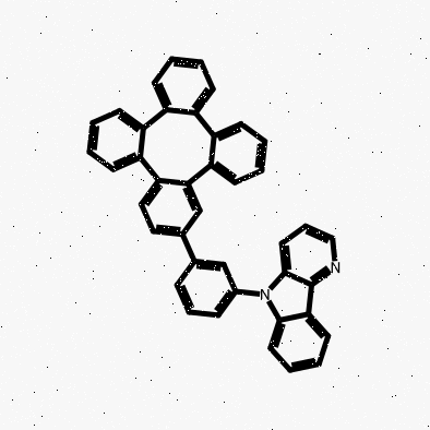 c1cc(-c2ccc3c(c2)-c2ccccc2-c2ccccc2-c2ccccc2-3)cc(-n2c3ccccc3c3ncccc32)c1